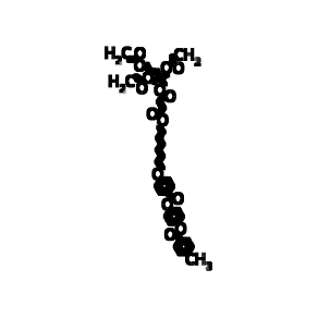 C=CC(=O)OCCCC(COC(=O)C=C)(COC(=O)C=C)COC(=O)CCC(=O)OCCCCCCCCOc1ccc(C(=O)Oc2ccc(OC(=O)c3ccc(C)cc3)cc2)cc1